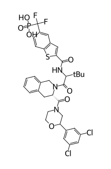 CC(C)(C)C(NC(=O)c1cc2cc(C(F)(F)P(=O)(O)O)ccc2s1)C(=O)N1Cc2ccccc2C[C@H]1C(=O)N1CCOC(c2cc(Cl)cc(Cl)c2)C1